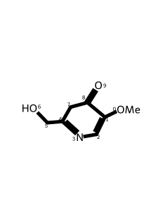 COC1=CN=C(CO)CC1=O